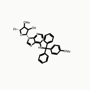 CC[C@H]1O[C@@H](n2cnc3c(NC(c4ccccc4)(c4ccccc4)c4ccc(OC)cc4)ncnc32)C(O)C1OC